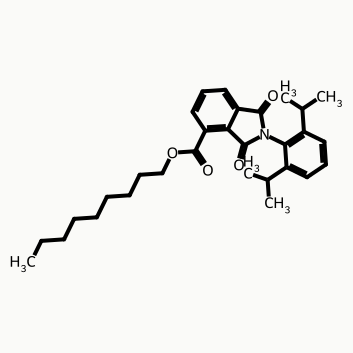 CCCCCCCCCOC(=O)c1cccc2c1C(=O)N(c1c(C(C)C)cccc1C(C)C)C2=O